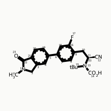 CN1Cc2cc(-c3ccc(C[C@@H](C#N)N(C(=O)O)C(C)(C)C)c(F)c3)ccc2C1=O